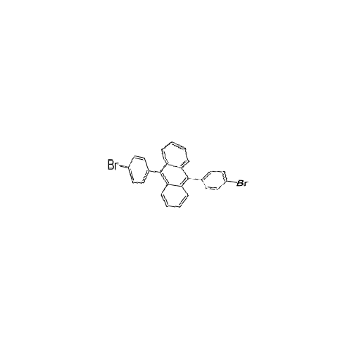 Brc1ccc(-c2c3ccccc3c(-c3ccc(Br)cc3)c3ccccc23)cc1